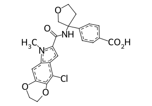 Cn1c(C(=O)NC2(c3ccc(C(=O)O)cc3)CCOC2)cc2c(Cl)c3c(cc21)OCCO3